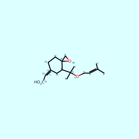 CC(C)=CCOC(C)(C)C1C/C(=C\C(=O)O)CCC12CO2